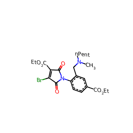 CCCCCN(C)Cc1cc(C(=O)OCC)ccc1N1C(=O)C(Br)=C(C(=O)OCC)C1=O